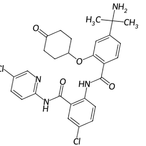 CC(C)(N)c1ccc(C(=O)Nc2ccc(Cl)cc2C(=O)Nc2ccc(Cl)cn2)c(OC2CCC(=O)CC2)c1